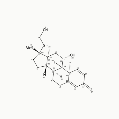 CS[C@]1(SCC#N)CC[C@H]2[C@@H]3CCC4=CC(=O)C=C[C@]4(C)C3(F)[C@@H](O)C[C@@]21C